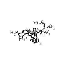 C=C(/C(C)=C\C(C)=C(/C)c1cccc2c1CCC2P)C(=C\C)/C(=C/C=C(\C)C(CCC)CCC)NC